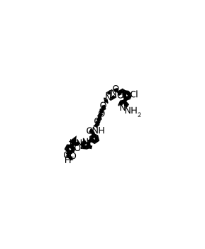 Cc1ccc(NC(=O)C2(c3ccc4c(c3)OC(F)(F)O4)CC2)nc1-c1cccc(C(=O)NCCOCCOCCOCCN2CCN(C(=O)[C@H]3Cc4cc(Cl)cc(-c5ccnc(N)c5)c4O3)CC2)c1